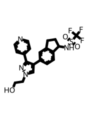 O=S(=O)(NC1CCc2cc(-c3cn(CCO)nc3-c3ccncc3)ccc21)C(F)(F)F